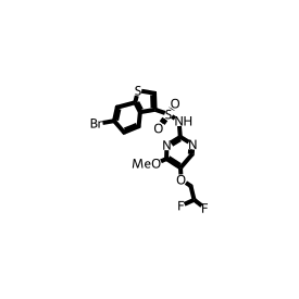 COc1nc(NS(=O)(=O)c2csc3cc(Br)ccc23)ncc1OCC(F)F